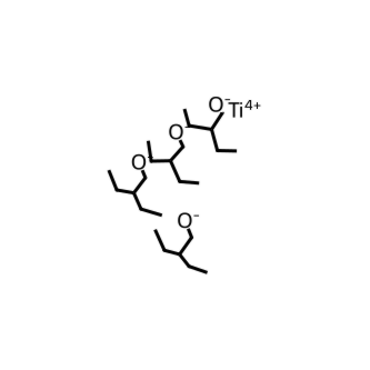 CCC(CC)C[O-].CCC(CC)C[O-].CCC(CC)C[O-].CCC(CC)C[O-].[Ti+4]